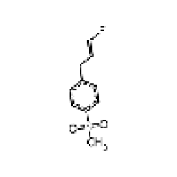 CS(=O)(=O)c1ccc(CC=CF)cc1